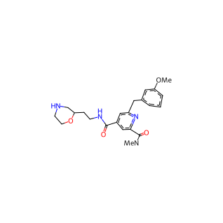 CNC(=O)c1cc(C(=O)NCCC2CNCCO2)cc(Cc2cccc(OC)c2)n1